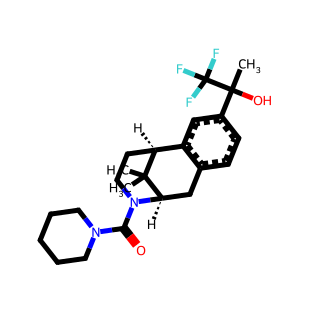 CC1(C)[C@H]2CCN(C(=O)N3CCCCC3)[C@@H]1Cc1ccc(C(C)(O)C(F)(F)F)cc12